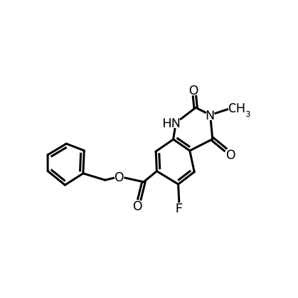 Cn1c(=O)[nH]c2cc(C(=O)OCc3ccccc3)c(F)cc2c1=O